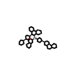 c1ccc(-c2ccc(-c3c(N(c4ccc(-c5ccc6c(ccc7ccccc76)c5)cc4)c4ccc5ccccc5c4)c4ccccc4c4ccccc34)cc2)cc1